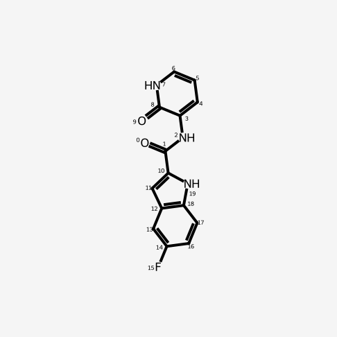 O=C(Nc1ccc[nH]c1=O)c1cc2cc(F)ccc2[nH]1